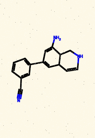 N#Cc1cccc(C2=CC3C=CNCC3C(N)=C2)c1